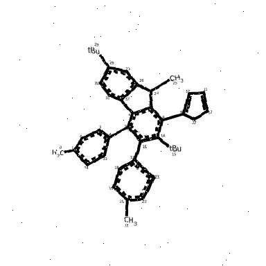 Cc1ccc(-c2c3c(c(C4=CC=CC4)c(C(C)(C)C)c2-c2ccc(C)cc2)C(C)c2cc(C(C)(C)C)ccc2-3)cc1